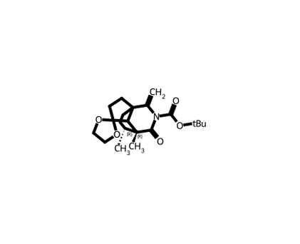 C=C1N(C(=O)OC(C)(C)C)C(=O)[C@@]2(C)C3C4(CCC13CC[C@H]2C)OCCO4